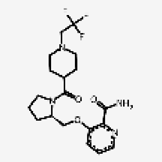 NC(=O)c1ncccc1OC[C@H]1CCCN1C(=O)C1CCN(CC(F)(F)F)CC1